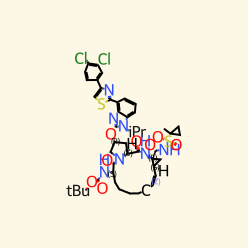 CC(C)n1c(O[C@@H]2C[C@H]3C(=O)N[C@]4(C(=O)NS(=O)(=O)C5(C)CC5)C[C@H]4/C=C\CCCCC[C@H](NC(=O)OC(C)(C)C)C(=O)N3C2)nc2c(-c3nc(-c4ccc(Cl)c(Cl)c4)cs3)cccc21